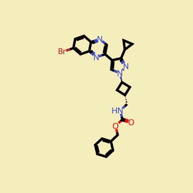 O=C(NC[C@H]1C[C@H](n2cc(-c3cnc4ccc(Br)cc4n3)c(C3CC3)n2)C1)OCc1ccccc1